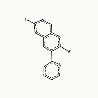 CC(C)c1nc2ccc(F)cc2cc1-c1ccccn1